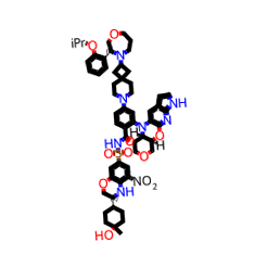 CC(C)Oc1ccccc1[C@@H]1COCCCN1C1CC2(CCN(c3ccc(C(=O)NS(=O)(=O)c4cc5c(c([N+](=O)[O-])c4)N[C@H](C4CCC(C)(O)CC4)CO5)c(N4c5cc6cc[nH]c6nc5O[C@H]5COCC[C@@H]54)c3)CC2)C1